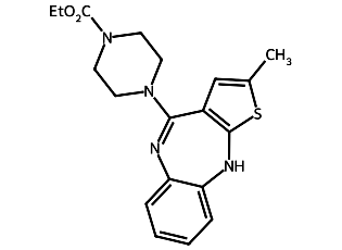 CCOC(=O)N1CCN(C2=Nc3ccccc3Nc3sc(C)cc32)CC1